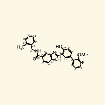 COc1ncccc1-c1ccc(O)c(-c2nc3cc(C(=O)NCc4ccncc4C)ccc3[nH]2)c1